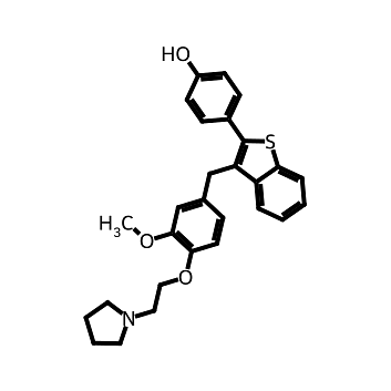 COc1cc(Cc2c(-c3ccc(O)cc3)sc3ccccc23)ccc1OCCN1CCCC1